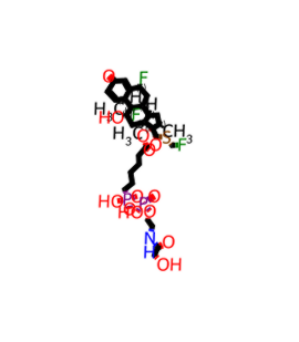 C[C@@H]1C[C@H]2[C@@H]3C[C@H](F)C4=CC(=O)C=C[C@]4(C)[C@@]3(F)[C@@H](O)C[C@]2(C)[C@@]1(OC(=O)CCCCCP(=O)(O)OP(=O)(O)OCCNC(=O)CO)C(=O)SCF